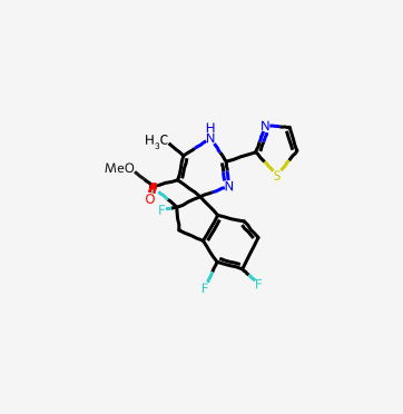 COC(=O)C1=C(C)NC(c2nccs2)=NC12c1ccc(F)c(F)c1CC2(F)F